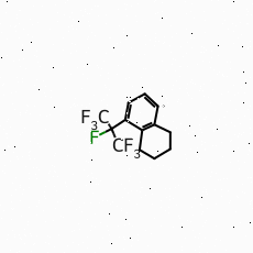 FC(F)(F)C(F)(c1cc[c]c2c1CCCC2)C(F)(F)F